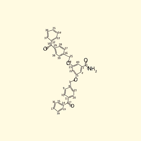 NC(=O)c1cc(OCc2ccc(C(=O)c3ccccc3)cc2)cc(OCc2ccc(C(=O)c3ccccc3)cc2)c1